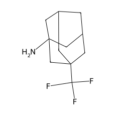 NC12CC3CC(C1)CC(C(F)(F)F)(C3)C2